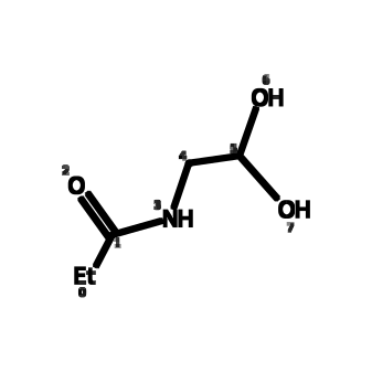 CCC(=O)NCC(O)O